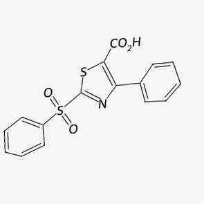 O=C(O)c1sc(S(=O)(=O)c2ccccc2)nc1-c1ccccc1